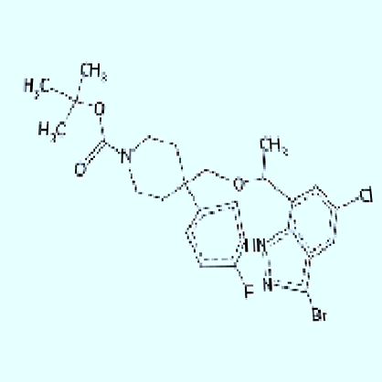 CC(OCC1(c2ccc(F)cc2)CCN(C(=O)OC(C)(C)C)CC1)c1cc(Cl)cc2c(Br)n[nH]c12